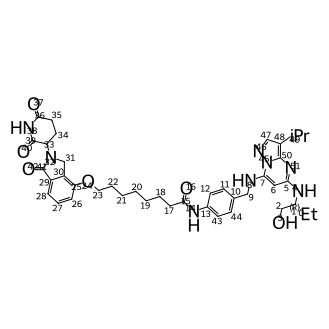 CC[C@H](CO)Nc1cc(NCc2ccc(NC(=O)CCCCCCCOc3cccc4c3CN(C3CCC(=O)NC3=O)C4=O)cc2)n2ncc(C(C)C)c2n1